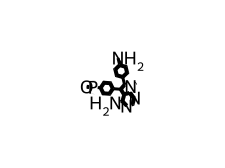 Cn1c(-c2ccc(N)cc2)c(-c2ccc(P(C)(C)=O)cc2)c2c(N)ncnc21